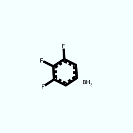 B.Fc1cccc(F)c1F